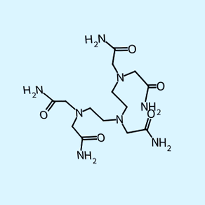 NC(=O)CN(CCN(CC(N)=O)CC(N)=O)CCN(CC(N)=O)CC(N)=O